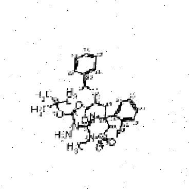 CN1C(N(N)C(=O)OC(C)(C)C)=NC(CC(CO)OCc2ccccc2)(c2ccccc2F)CS1(=O)=O